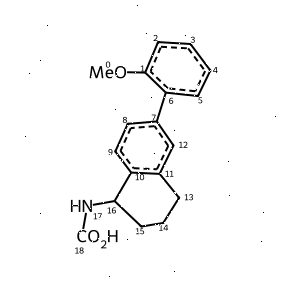 COc1ccccc1-c1ccc2c(c1)CCCC2NC(=O)O